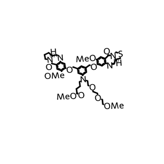 COCCOCCOCCN(CCCC(=O)OC)c1cc(COc2cc3c(cc2OC)C(=O)N2CCC[C@H]2C=N3)cc(COc2cc3c(cc2OC)C(=O)N2CSC[C@H]2C=N3)c1